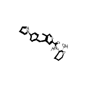 Cc1cnc(C(=O)N[C@H]2CCCO[C@H]2O)cc1Cc1ccc(-n2cccn2)cc1